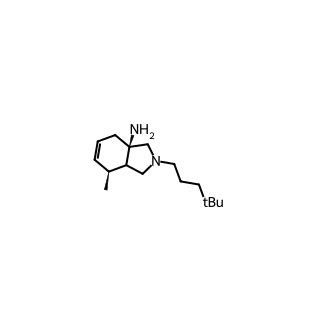 C[C@H]1C=CC[C@]2(N)CN(CCCC(C)(C)C)CC12